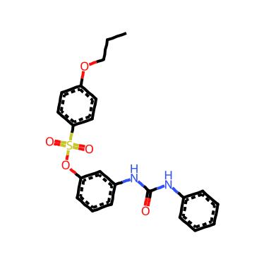 CCCOc1ccc(S(=O)(=O)Oc2cccc(NC(=O)Nc3ccccc3)c2)cc1